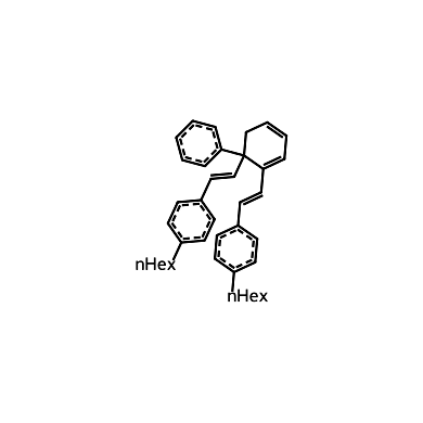 CCCCCCc1ccc(C=CC2=CC=CCC2(C=Cc2ccc(CCCCCC)cc2)c2ccccc2)cc1